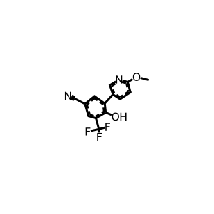 COc1ccc(-c2cc(C#N)cc(C(F)(F)F)c2O)cn1